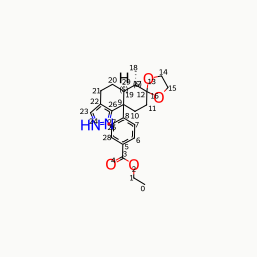 CCOC(=O)c1ccc(C23CCC4(OCCO4)[C@@H](C)[C@@H]2CCc2c[nH]nc23)cc1